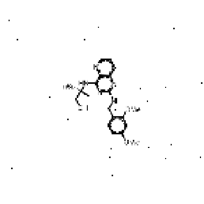 CCCC[C@](C)(CO)Nc1nc(NCc2ccc(OC)cc2OC)nc2cccnc12